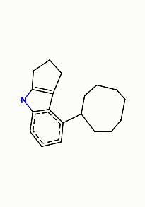 c1cc2c(c(C3CCCCCCC3)c1)C1=C(CCC1)[N]2